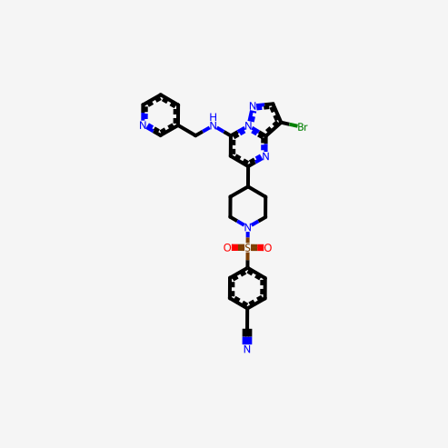 N#Cc1ccc(S(=O)(=O)N2CCC(c3cc(NCc4cccnc4)n4ncc(Br)c4n3)CC2)cc1